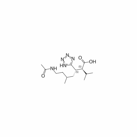 CC(=O)NCCC(C)C[C@H](c1nnn[nH]1)[C@@H](C(=O)O)C(C)C